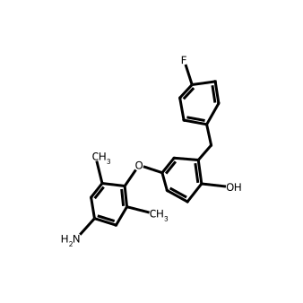 Cc1cc(N)cc(C)c1Oc1ccc(O)c(Cc2ccc(F)cc2)c1